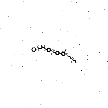 C=CC(=O)OCCCOc1ccc(-c2ccc(C(=O)Oc3ccc(OC(=O)C(=C)CC(=O)OC4CCCCC4)cc3)cc2)cc1F